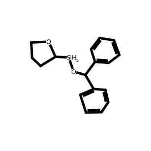 c1ccc(C(O[SiH2]C2CCCO2)c2ccccc2)cc1